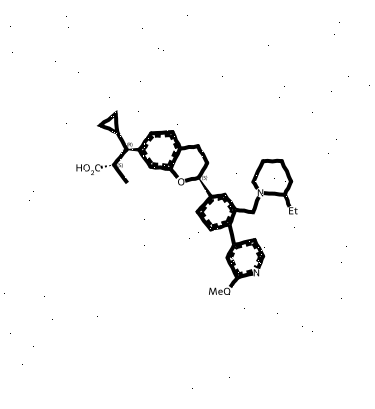 CCC1CCCCN1Cc1cc([C@@H]2CCc3ccc([C@H](C4CC4)[C@H](C)C(=O)O)cc3O2)ccc1-c1ccnc(OC)c1